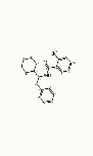 O=C(NC(Cc1ccccc1)C1CCCCC1)c1cccnc1Cl